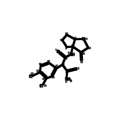 NC(=O)C(C(=O)NC12CCCC1OCC2=O)c1ccc(Cl)c(Cl)c1